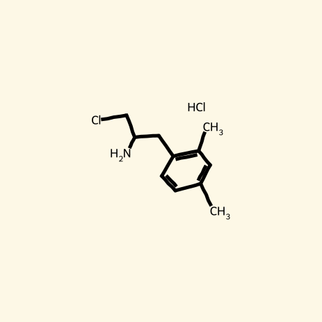 Cc1ccc(CC(N)CCl)c(C)c1.Cl